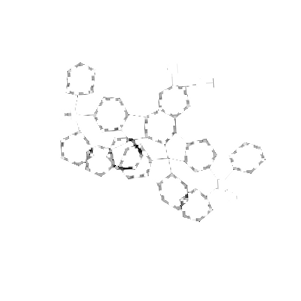 Cc1cc2c3c(c4c(c2cc1C)-c1ccc(P(=O)(c2ccccc2)c2ccccc2)cc1C41c2ccccc2-c2ccccc21)C1(c2ccccc2-c2ccccc21)c1cc(P(=O)(c2ccccc2)c2ccccc2)ccc1-3